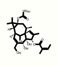 C/C=C(/C)C(=O)O[C@H]1C(C)=C[C@]23C(O)[C@@H](C=C(CO)[C@@H](O)[C@]12O)[C@@H]1C(C)(C)[C@]1(OC(=O)CCCCCCCCC)C[C@H]3C